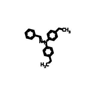 CCc1ccc(N(/N=C/c2ccccc2)c2ccc(CC)cc2)cc1